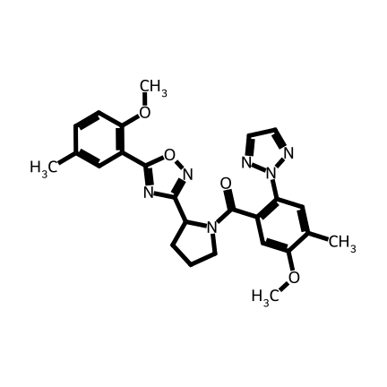 COc1cc(C(=O)N2CCCC2c2noc(-c3cc(C)ccc3OC)n2)c(-n2nccn2)cc1C